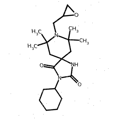 CC1(C)CC2(CC(C)(C)N1CC1CO1)NC(=O)N(C1CCCCC1)C2=O